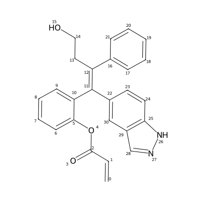 C=CC(=O)Oc1ccccc1/C(=C(\CCO)c1ccccc1)c1ccc2[nH]ncc2c1